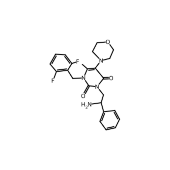 Cc1c(N2CCOCC2)c(=O)n(CC(N)c2ccccc2)c(=O)n1Cc1c(F)cccc1F